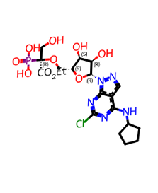 CCOC(=O)[C@](CO)(OC[C@H]1O[C@@H](n2ncc3c(NC4CCCC4)nc(Cl)nc32)[C@H](O)[C@@H]1O)P(=O)(O)O